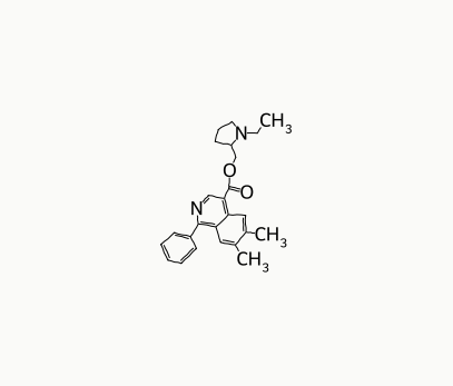 CCN1CCCC1COC(=O)c1cnc(-c2ccccc2)c2cc(C)c(C)cc12